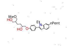 CCCCCc1ccc2cc(-c3ccc(OCC(O)CCC(CO)COC)cc3)n(CC)c2c1